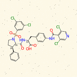 O=C(Nc1ccc(C[C@H](NC(=O)[C@@H]2[C@@H](c3ccccc3)CCN2S(=O)(=O)c2cc(Cl)cc(Cl)c2)C(=O)O)cc1)c1c(Cl)cncc1Cl